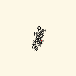 CCCC(C(=O)C(=O)N[C@H](Cc1ccccc1)C(=O)O)N1CC(F)(F)[C@H]2CN(C(=O)[C@@H](NC(=O)OC(C)C)C(C)(C)C)[C@H](C1=O)[C@H]2C